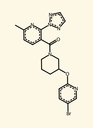 Cc1ccc(C(=O)N2CCCC(Oc3ccc(Br)cn3)C2)c(-n2nccn2)n1